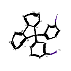 Ic1cccc(C2(c3cccc(I)c3)c3ccccc3-c3ccccc32)c1